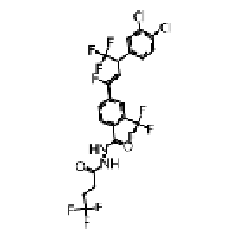 O=C(CCC(F)(F)F)NNC(=O)c1ccc(C(F)=CC(c2ccc(Cl)c(Cl)c2)C(F)(F)F)cc1C(F)(F)F